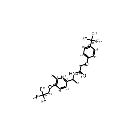 Cc1nc(C(C)NC(=O)COc2ccc(C(F)(F)F)cc2)ccc1OCC(F)(F)F